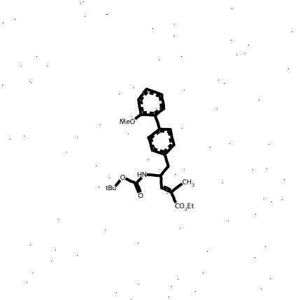 CCOC(=O)C(C)=CC(Cc1ccc(-c2ccccc2OC)cc1)NC(=O)OC(C)(C)C